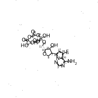 Nc1ncnn2c(C3CO[C@H](COP(=O)(O)OP(=O)(O)OP(=O)(O)O)[C@H]3O)cc(F)c12